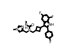 CNC(=O)N(Cc1cn(C)cn1)CC1CC(c2c(-c3ccc(F)cc3)[nH]c3c(F)cc(F)cc23)C1